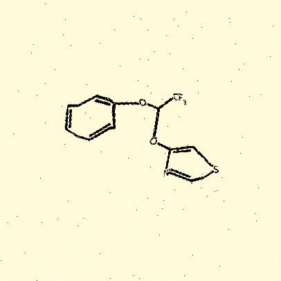 FC(F)(F)C(Oc1ccccc1)Oc1cs[c]n1